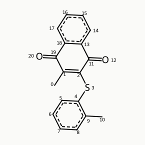 CC1=C(Sc2ccccc2C)C(=O)c2ccccc2C1=O